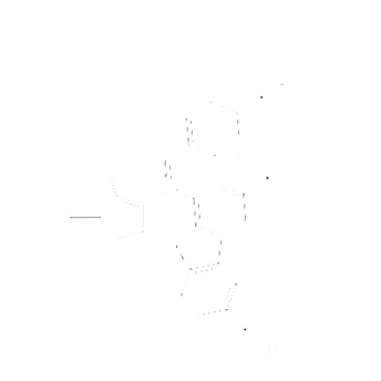 CC1=[C](/[Zr+2](=[CH]/c2ccc(C(F)(F)F)cc2)[c]2cc(C(C)(C)C)cc3c2Cc2ccc(C(C)(C)C)cc2-3)C(C)C=C1C(C)C.[Cl-].[Cl-]